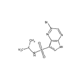 CC(C)NS(=O)(=O)c1c[nH]c2ncc(Br)nc12